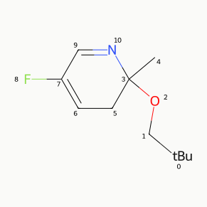 CC(C)(C)COC1(C)CC=C(F)C=N1